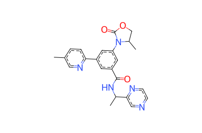 Cc1ccc(-c2cc(C(=O)NC(C)c3cnccn3)cc(N3C(=O)OCC3C)c2)nc1